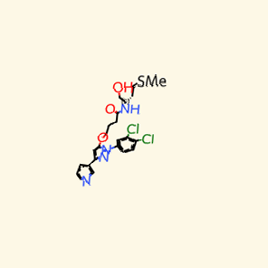 CSCC[C@@H](CO)NC(=O)CCCOc1cc(-c2cccnc2)nn1-c1ccc(Cl)c(Cl)c1